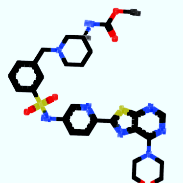 CC(C)(C)OC(=O)N[C@@H]1CCCN(Cc2cccc(S(=O)(=O)Nc3ccc(-c4nc5c(N6CCOCC6)ncnc5s4)nc3)c2)C1